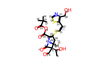 CC(O)[C@@]1(C=O)C(=O)N2C(C(=O)OC(=O)C(C)(C)C)=C(S/C=C\c3scnc3CO)[C@H](C)[C@H]21